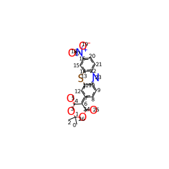 CC1(C)OC(=O)C(=c2ccc3c(c2)Sc2cc([N+](=O)[O-])ccc2N=3)C(=O)O1